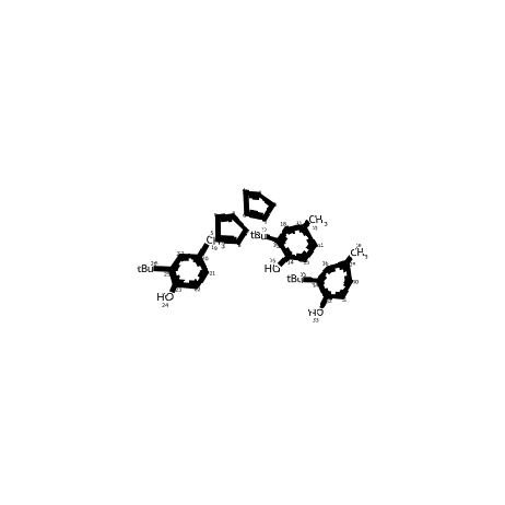 C1=CCC=C1.C1=CCC=C1.Cc1ccc(O)c(C(C)(C)C)c1.Cc1ccc(O)c(C(C)(C)C)c1.Cc1ccc(O)c(C(C)(C)C)c1